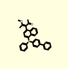 CO/C(C)=C(\C(C)=O)c1ccc(N(c2ccccc2)c2ccc(-c3ccccc3)cc2)c2ccccc12